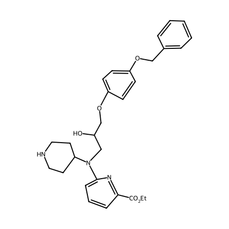 CCOC(=O)c1cccc(N(CC(O)COc2ccc(OCc3ccccc3)cc2)C2CCNCC2)n1